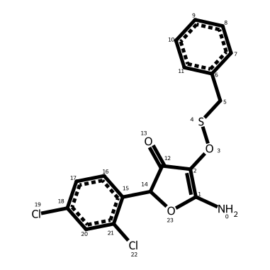 NC1=C(OSCc2ccccc2)C(=O)C(c2ccc(Cl)cc2Cl)O1